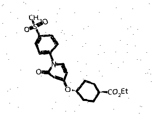 CCOC(=O)[C@H]1CC[C@H](Oc2ccn(-c3ccc(S(C)(=O)=O)cc3)c(=O)c2)CC1